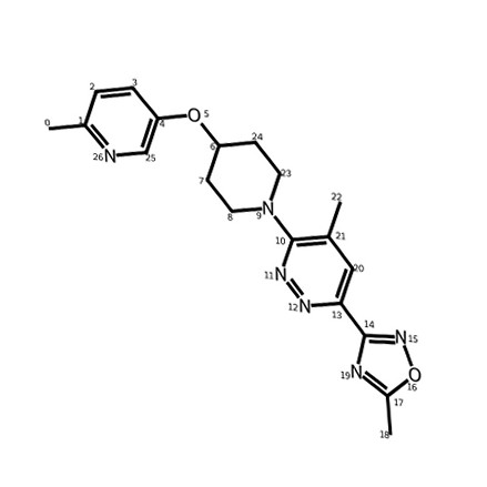 Cc1ccc(OC2CCN(c3nnc(-c4noc(C)n4)cc3C)CC2)cn1